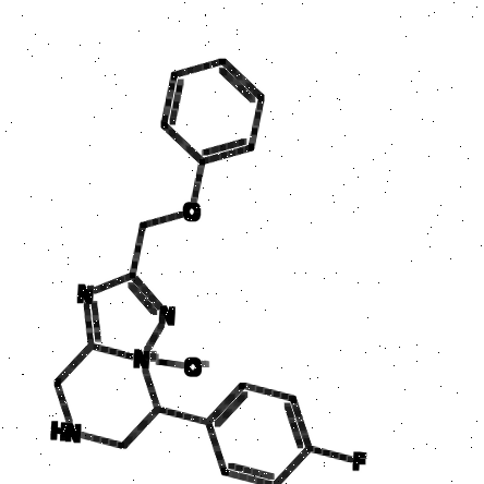 [O-][N+]12N=C(COc3ccccc3)N=C1CNCC2c1ccc(F)cc1